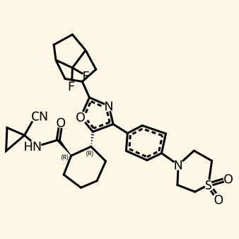 N#CC1(NC(=O)[C@@H]2CCCC[C@H]2c2oc(C3CC4CCC(C3)C4(F)F)nc2-c2ccc(N3CCS(=O)(=O)CC3)cc2)CC1